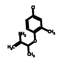 C=C(N)C(C)Oc1ccc(Cl)cc1C